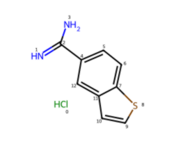 Cl.N=C(N)c1ccc2sccc2c1